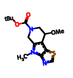 COC1CN(C(=O)OC(C)(C)C)Cc2c1c1scnc1n2C